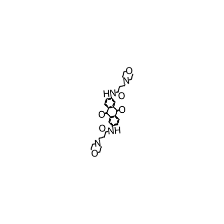 O=C(CCN1CCOCC1)Nc1ccc2c(c1)C(=O)c1ccc(NC(=O)CCN3CCOCC3)cc1C2=O